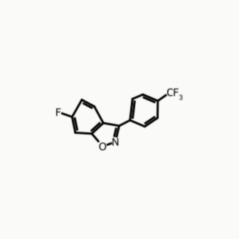 Fc1ccc2c(-c3ccc(C(F)(F)F)cc3)noc2c1